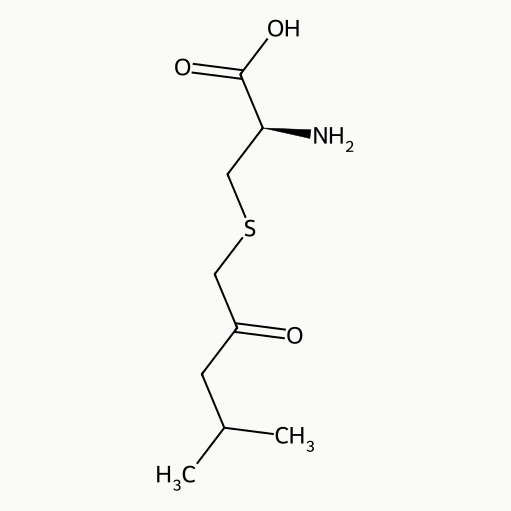 CC(C)CC(=O)CSC[C@H](N)C(=O)O